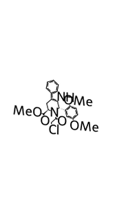 COC(=O)[C@H]1Cc2c([nH]c3ccccc23)[C@H](c2cc(OC)ccc2OC)N1C(=O)CCl